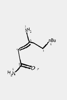 CCCCC/C(N)=C\C(N)=O